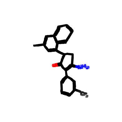 Cc1cc(C2CC(N)=C(c3cccc(C(F)(F)F)c3)C2=O)c2ccccc2c1